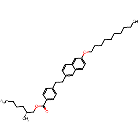 CCCCCCCCCCOc1ccc2cc(CCc3ccc(C(=O)OC[C@H](C)CCCC)cc3)ccc2c1